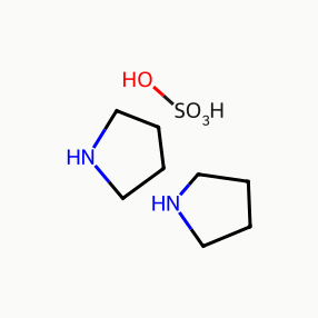 C1CCNC1.C1CCNC1.O=S(=O)(O)O